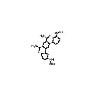 CCCCNc1cccc(-c2cc(-c3cccc(NCCCC)n3)c(C(N)=O)cc2C(N)=O)n1